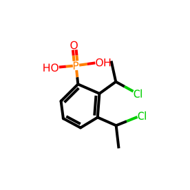 CC(Cl)c1cccc(P(=O)(O)O)c1C(C)Cl